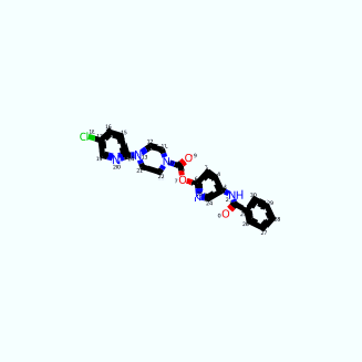 O=C(Nc1ccc(OC(=O)N2CCN(c3ccc(Cl)cn3)CC2)nc1)c1ccccc1